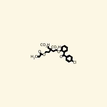 C=CC(=O)OCCC(CCOc1ccccc1C(=O)c1ccc(Cl)cc1)(CC(=O)O)C(=O)O